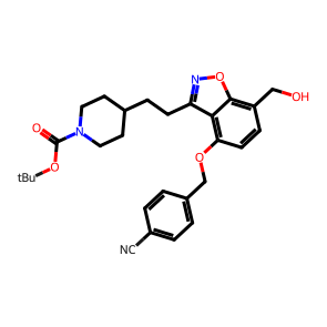 CC(C)(C)OC(=O)N1CCC(CCc2noc3c(CO)ccc(OCc4ccc(C#N)cc4)c23)CC1